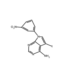 Nc1ncnc2c1c(I)cn2-c1cccc([N+](=O)[O-])c1